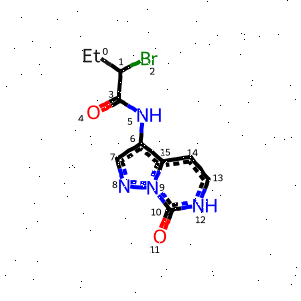 CCC(Br)C(=O)Nc1cnn2c(=O)[nH]ccc12